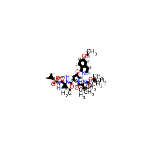 C=C[C@@H]1C[C@]1(NC(=O)[C@@H]1C[C@@H](Oc2nccc3cc(OCC)ccc23)CN1C(=O)[C@@H](NC(=O)OC(C)(C)C)C(C)(C)C)C(=O)NS(=O)(=O)C1CC1